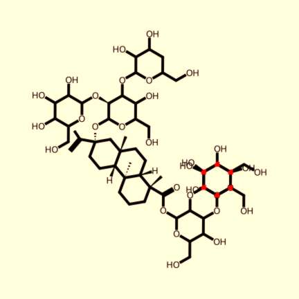 C=C(C)[C@]1(OC2OC(CO)C(O)C(OC3OC(CO)CC(O)C3O)[C@@H]2OC2OC(CO)C(O)C(O)C2O)CC[C@@H]2[C@@](C)(CC[C@H]3[C@@]2(C)CCC[C@@]3(C)C(=O)OC2OC(CO)C(O)C(OC3OC(CO)CC(O)C3O)C2OC2OC(CO)C(O)C(O)C2O)C1